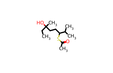 CCC(C)(O)CCC(SC(C)=O)C(C)C